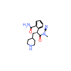 CN(C#N)C(=O)[C@@H](CC1CCNCC1)c1ccccc1C(N)=O